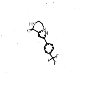 O=C1NCCn2nc(-c3ccc(C(F)(F)F)cc3)cc21